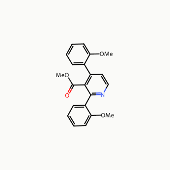 COC(=O)c1c(-c2ccccc2OC)ccnc1-c1ccccc1OC